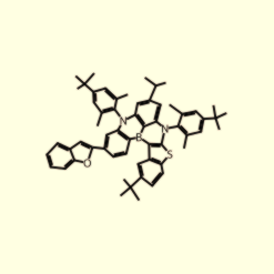 Cc1cc(C(C)(C)C)cc(C)c1N1c2cc(-c3cc4ccccc4o3)ccc2B2c3c1cc(C(C)C)cc3N(c1c(C)cc(C(C)(C)C)cc1C)c1sc3ccc(C(C)(C)C)cc3c12